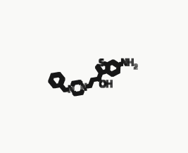 Nc1ccc2c(C(O)CCN3CCN(Cc4ccccc4)CC3)csc2c1